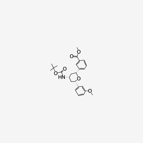 COC(=O)c1cccc([C@H]2C[C@@H](NC(=O)OC(C)(C)C)C[C@@H](c3cccc(OC)c3)O2)c1